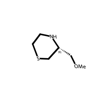 COC[C@@H]1CSCCN1